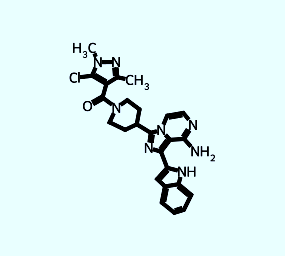 Cc1nn(C)c(Cl)c1C(=O)N1CCC(c2nc(-c3cc4ccccc4[nH]3)c3c(N)nccn23)CC1